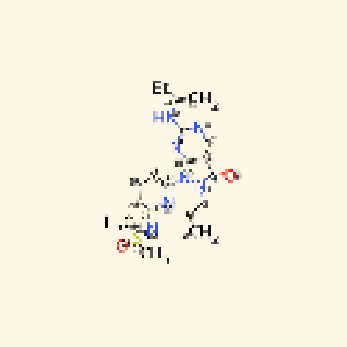 C=CCn1c(=O)c2cnc(NC(=C)CC)nc2n1-c1cccc(N=S(C)(C)=O)n1